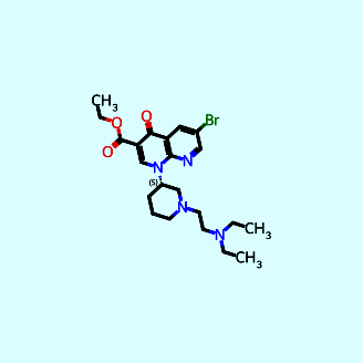 CCOC(=O)c1cn([C@H]2CCCN(CCN(CC)CC)C2)c2ncc(Br)cc2c1=O